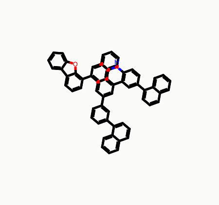 c1ccc(-c2ccc(-c3cccc(-c4cccc5ccccc45)c3)cc2-c2cc(-c3cccc4ccccc34)ccc2Nc2ccc(-c3cccc4c3oc3ccccc34)cc2)cc1